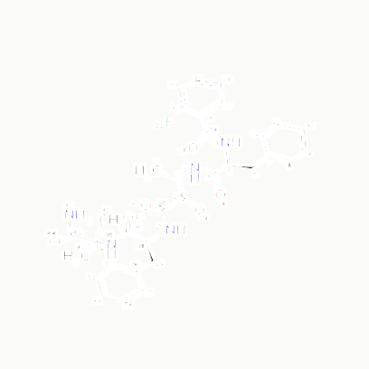 CC(NC(=O)[C@H](Cc1ccccc1)NC(=O)c1ccccc1F)C(=O)C(=O)N[C@@H](Cc1ccccc1)C(=O)NC(C)(C)C(N)=O